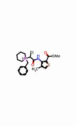 CCC(C(=O)Nc1c(C)csc1C(=O)OC)[PH]1(Cc2ccccc2)CCCCC1